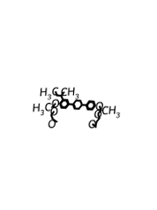 CCC(C)c1cc(C2=CCC(c3ccc(OC(C)OCC4CO4)cc3)CC2)ccc1OC(C)OCC1CO1